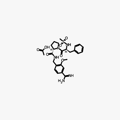 CC(=O)O.COc1cc(C(=N)N)ccc1CNC(=O)[C@@H]1CCCN1C(=O)[C@H](Cc1ccccc1)NS(C)(=O)=O